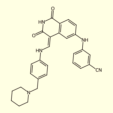 N#Cc1cccc(Nc2ccc3c(c2)/C(=C/Nc2ccc(CN4CCCCC4)cc2)C(=O)NC3=O)c1